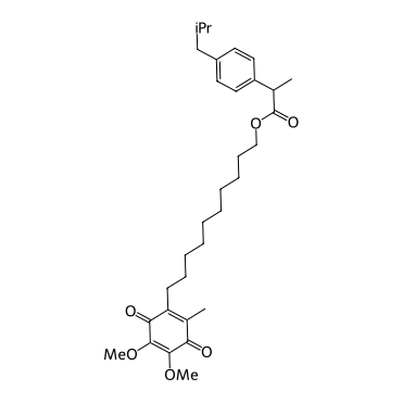 COC1=C(OC)C(=O)C(CCCCCCCCCCOC(=O)C(C)c2ccc(CC(C)C)cc2)=C(C)C1=O